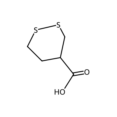 O=C(O)C1CCSSC1